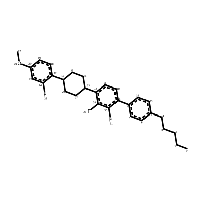 CCCCCc1ccc(-c2ccc(C3CCC(c4ccc(OC)cc4F)CC3)c(F)c2F)cc1